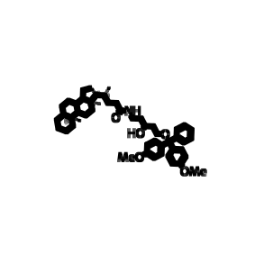 COc1ccc(C(OCCC(O)CCNC(=O)CC[C@@H](C)[C@H]2CCC3C4CCC5CCCC[C@]5(C)C4CC[C@@]32C)(c2ccccc2)c2ccc(OC)cc2)cc1